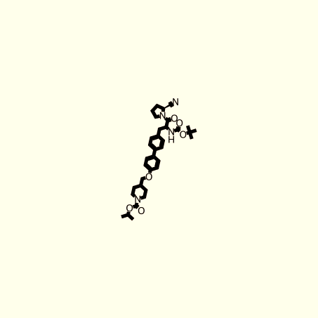 CC(C)OC(=O)N1CCC(COc2ccc(-c3ccc(CC(NC(=O)OC(C)(C)C)C(=O)N4CCC[C@H]4C#N)cc3)cc2)CC1